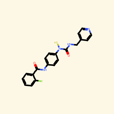 O=C(Nc1ccc(N(S)C(=O)NCc2ccncc2)cc1)c1ccccc1F